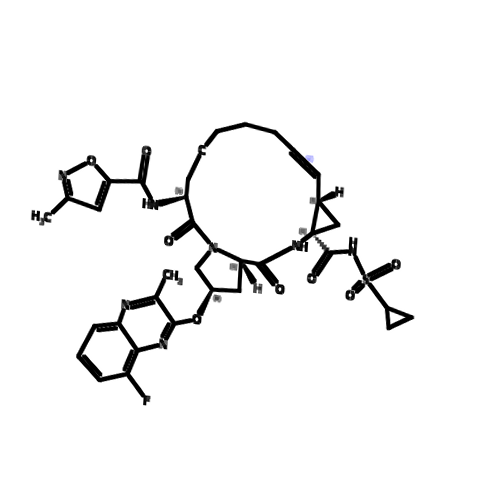 Cc1cc(C(=O)N[C@H]2CCCCC/C=C\[C@@H]3C[C@@]3(C(=O)NS(=O)(=O)C3CC3)NC(=O)[C@@H]3C[C@@H](Oc4nc5c(F)cccc5nc4C)CN3C2=O)on1